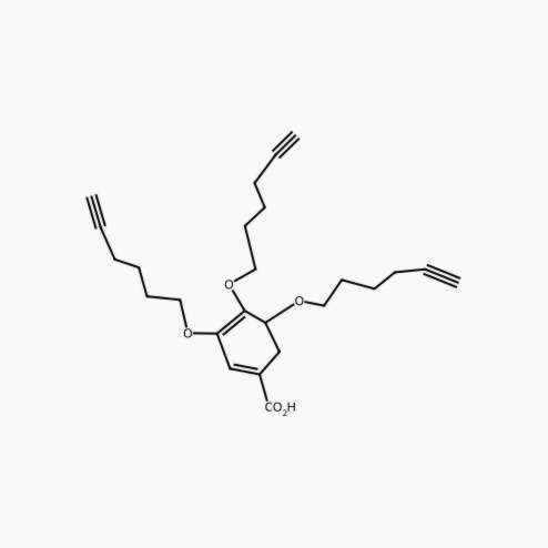 C#CCCCCOC1=C(OCCCCC#C)C(OCCCCC#C)CC(C(=O)O)=C1